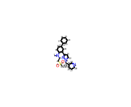 CNS(=O)(=O)CCN(C)c1ccc(-c2ccccc2)cc1-c1ccn(Cc2cccnc2)n1